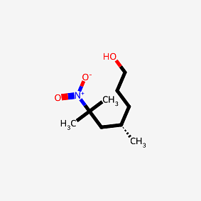 C[C@@H](CCCO)CC(C)(C)[N+](=O)[O-]